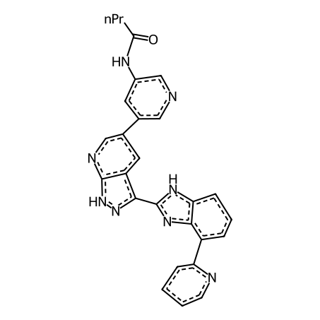 CCCC(=O)Nc1cncc(-c2cnc3[nH]nc(-c4nc5c(-c6ccccn6)cccc5[nH]4)c3c2)c1